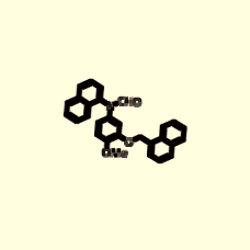 COc1ccc(N(C=O)c2cccc3ccccc23)cc1OCc1cccc2ccccc12